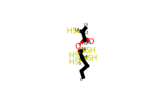 CCCC(S)(S)C(S)(S)OC(=O)C(C)S